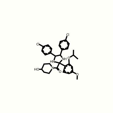 COc1ccc(C2(C(=O)N3CCC(O)CC3)NC(c3ccc(Cl)cc3)C(c3ccc(Cl)cc3)N2)c(OC(C)C)c1